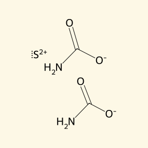 NC(=O)[O-].NC(=O)[O-].[S+2]